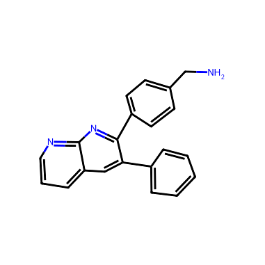 NCc1ccc(-c2nc3ncccc3cc2-c2ccccc2)cc1